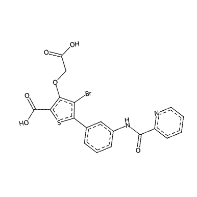 O=C(O)COc1c(C(=O)O)sc(-c2cccc(NC(=O)c3ccccn3)c2)c1Br